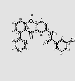 COc1ccc(NC(=O)c2cccc(Cl)c2)cc1Nc1ncccc1-c1ccncn1